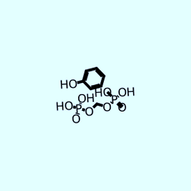 O=P(O)(O)OCOP(=O)(O)O.Oc1ccccc1